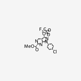 COC(=O)c1ncc2c(OS(=O)(=O)C(F)(F)F)nn(-c3ccc(Cl)cc3)c2n1